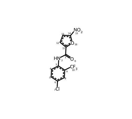 O=C(Nc1ccc(Cl)cc1C(F)(F)F)c1ccc([N+](=O)[O-])o1